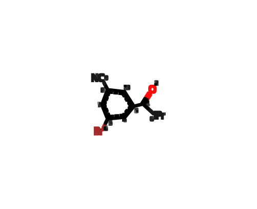 CC(C)C(=O)c1cc(Br)cc(C#N)c1